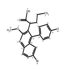 CCCC(C(=O)O)c1c(OC)nc2ccc(Br)cc2c1-c1ccc(Cl)cc1